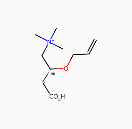 C=CCO[C@H](CC(=O)O)C[N+](C)(C)C